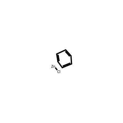 [Cl][Zn].c1ccccc1